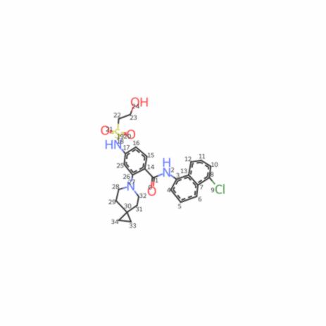 O=C(Nc1cccc2c(Cl)cccc12)c1ccc(NS(=O)(=O)CCO)cc1N1CCC2(CC1)CC2